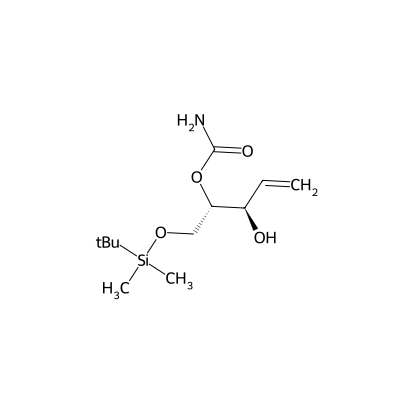 C=C[C@@H](O)[C@H](CO[Si](C)(C)C(C)(C)C)OC(N)=O